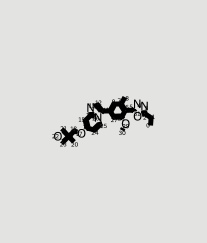 CCc1nnc(-c2c(C)cc(-c3cnc4cc(OCC5(C)COC5)ccn34)cc2OC)o1